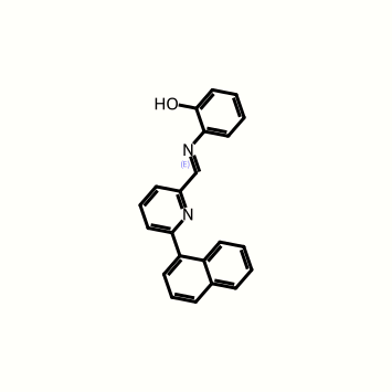 Oc1ccccc1/N=C/c1cccc(-c2cccc3ccccc23)n1